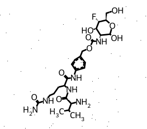 CC(C)C(N)C(=O)NC(CCCNC(N)=O)C(=O)Nc1ccc(COC(=O)N[C@H]2C(O)O[C@H](CO)[C@@H](F)[C@@H]2O)cc1